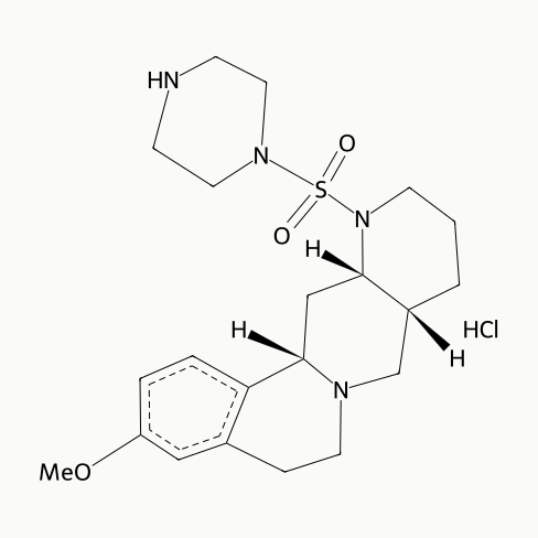 COc1ccc2c(c1)CCN1C[C@H]3CCCN(S(=O)(=O)N4CCNCC4)[C@H]3C[C@@H]21.Cl